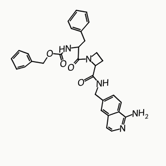 Nc1nccc2cc(CNC(=O)C3CCN3C(=O)C(Cc3ccccc3)NC(=O)OCc3ccccc3)ccc12